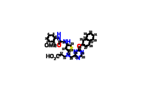 COc1ccccc1NC(=O)Nc1csc(N(CCC(=O)O)Cc2ncnc(Oc3ccc4ccccc4c3)n2)c1